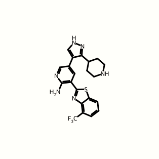 Nc1ncc(-c2c[nH]nc2C2CCNCC2)cc1-c1nc2c(C(F)(F)F)cccc2s1